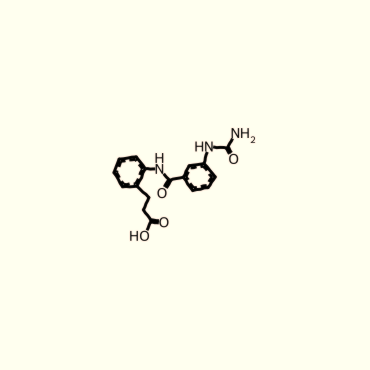 NC(=O)Nc1cccc(C(=O)Nc2ccccc2CCC(=O)O)c1